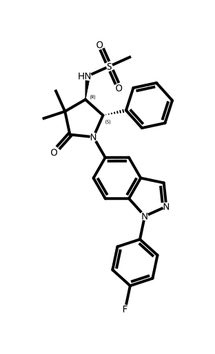 CC1(C)C(=O)N(c2ccc3c(cnn3-c3ccc(F)cc3)c2)[C@@H](c2ccccc2)[C@@H]1NS(C)(=O)=O